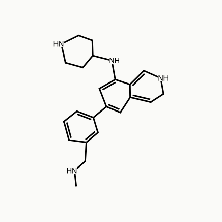 CNCc1cccc(-c2cc(NC3CCNCC3)c3c(c2)=CCNC=3)c1